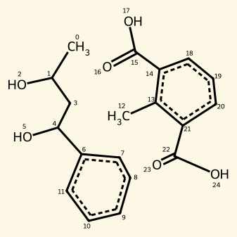 CC(O)CC(O)c1ccccc1.Cc1c(C(=O)O)cccc1C(=O)O